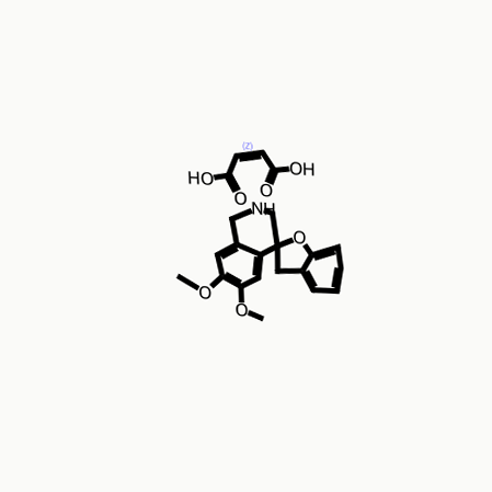 COc1cc2c(cc1OC)C1(CNC2)Cc2ccccc2O1.O=C(O)/C=C\C(=O)O